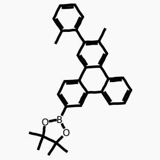 Cc1ccccc1-c1cc2c3ccc(B4OC(C)(C)C(C)(C)O4)cc3c3ccccc3c2cc1C